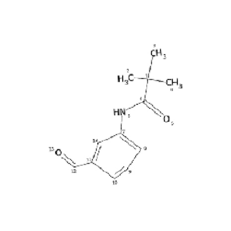 CC(C)(C)C(=O)Nc1cccc(C=O)c1